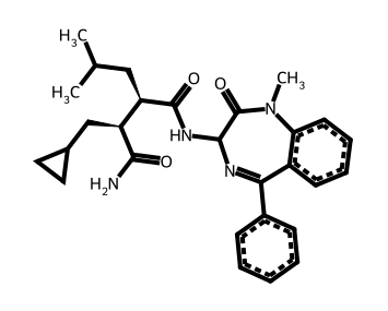 CC(C)C[C@@H](C(=O)NC1N=C(c2ccccc2)c2ccccc2N(C)C1=O)[C@H](CC1CC1)C(N)=O